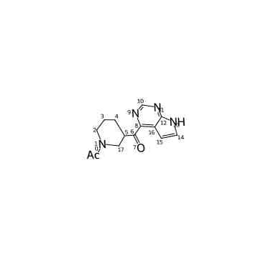 CC(=O)N1CCCC(C(=O)c2ncnc3[nH]ccc23)C1